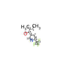 CCC(C)C(=O)c1ccc(C(F)(F)F)nc1